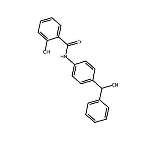 N#CC(c1ccccc1)c1ccc(NC(=O)c2ccccc2O)cc1